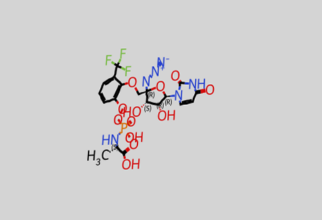 C[C@H](NP(=O)(O)OOc1cccc(C(F)(F)F)c1OC[C@@]1(N=[N+]=[N-])O[C@@H](n2ccc(=O)[nH]c2=O)[C@H](O)[C@@H]1O)C(=O)O